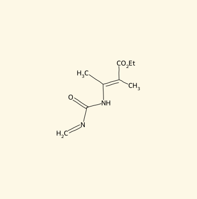 C=NC(=O)N/C(C)=C(\C)C(=O)OCC